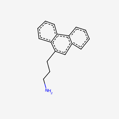 NCCCc1cc2ccccc2c2ccccc12